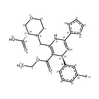 CCOC(=O)C1=C(CN2CCOC[C@H]2C(=O)O)NC(c2nccs2)=N[C@H]1c1cccc(F)c1